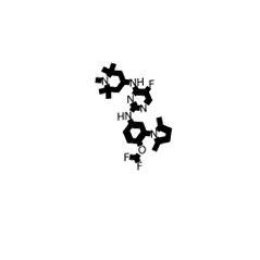 Cc1ccc(C)n1-c1cc(Nc2ncc(F)c(NC3CC(C)(C)N(C)C(C)(C)C3)n2)ccc1OC(F)F